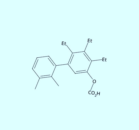 CCc1c(OC(=O)O)cc(-c2cccc(C)c2C)c(CC)c1CC